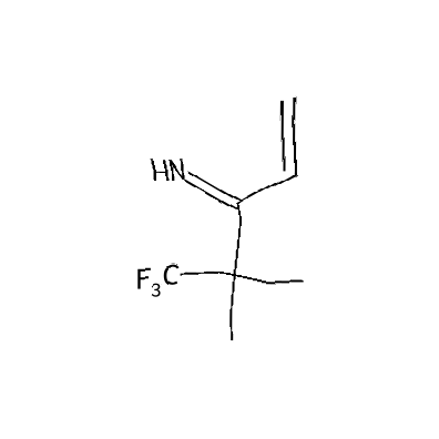 C=CC(=N)C(C)(C)C(F)(F)F